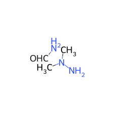 CN(C)N.NC=O